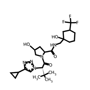 CC(C)(C)[C@@H](C(=O)N1CC(O)CC1C(=O)NCC1(O)CCCC(C(F)(F)F)C1)n1cc(C2CC2)nn1